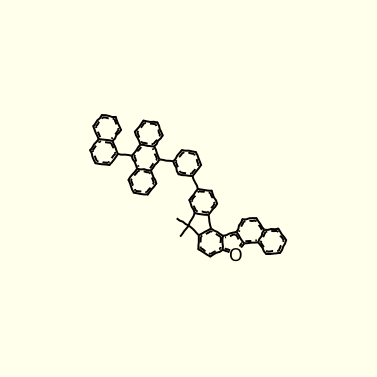 CC1(C)c2cc(-c3cccc(-c4c5ccccc5c(-c5cccc6ccccc56)c5ccccc45)c3)ccc2-c2c1ccc1oc3c4ccccc4ccc3c21